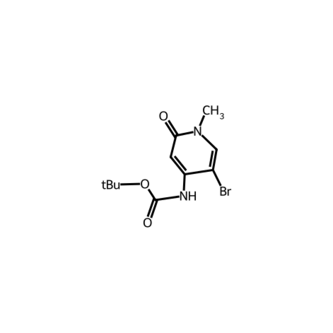 Cn1cc(Br)c(NC(=O)OC(C)(C)C)cc1=O